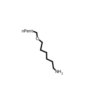 CCCCCCOCCCCCCN